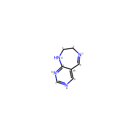 C1=NCCNc2ncncc21